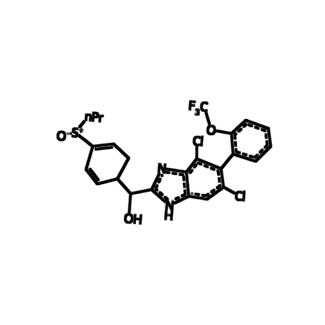 CCC[S+]([O-])C1=CCC(C(O)c2nc3c(Cl)c(-c4ccccc4OC(F)(F)F)c(Cl)cc3[nH]2)C=C1